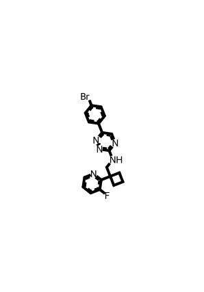 Fc1cccnc1C1(CNc2ncc(-c3ccc(Br)cc3)nn2)CCC1